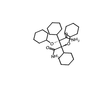 NC(=O)[C@@](OC1CCCCC1)(C1CCCCC1)[C@](OC1CCCCC1)(C(N)=O)C1CCCCC1